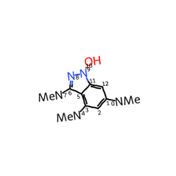 CNc1cc(NC)c2c(NC)nn(O)c2c1